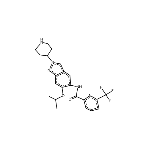 CC(C)Oc1cc2nn(C3CCNCC3)cc2cc1NC(=O)c1cccc(C(F)(F)F)n1